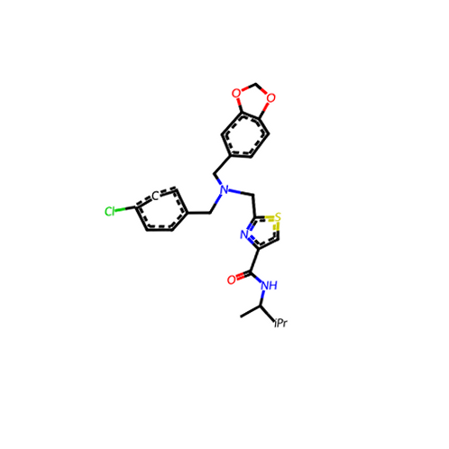 CC(C)C(C)NC(=O)c1csc(CN(Cc2ccc(Cl)cc2)Cc2ccc3c(c2)OCO3)n1